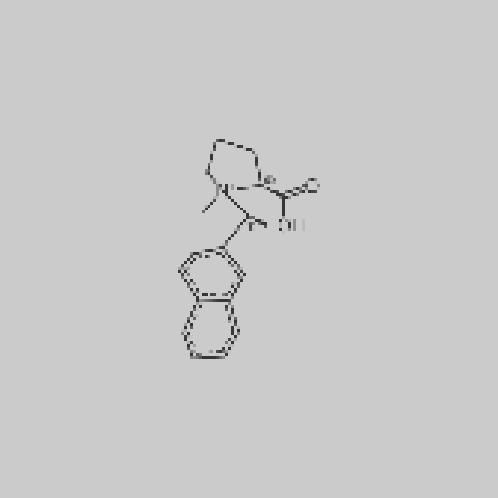 C[C@@H](c1ccc2ccccc2c1)[N+]1(C)CCC[C@H]1C(=O)O